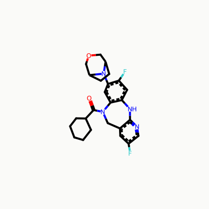 O=C(C1CCCCC1)N1Cc2cc(F)cnc2Nc2cc(F)c(N3C4CCC3COC4)cc21